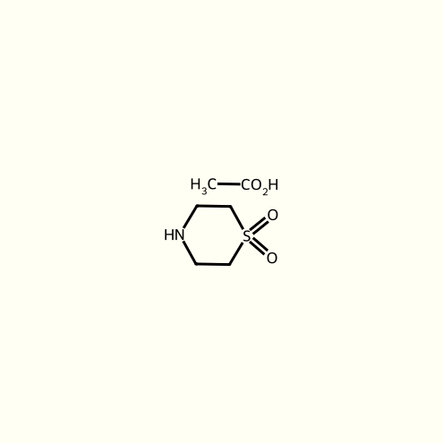 CC(=O)O.O=S1(=O)CCNCC1